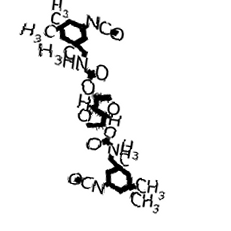 CC1(C)CC(N=C=O)CC(C)(CNC(=O)O[C@H]2CO[C@H]3[C@@H]2OC[C@H]3OC(=O)NCC2(C)CC(N=C=O)CC(C)(C)C2)C1